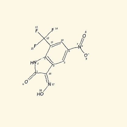 O=C1Nc2c(cc([N+](=O)[O-])cc2C(F)(F)F)/C1=N/O